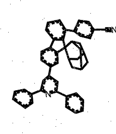 N#Cc1ccc(-c2cccc3c2C2(c4cc(-c5cc(-c6ccccc6)nc(-c6ccccc6)c5)ccc4-3)C3CC4CC(C3)CC2C4)cc1